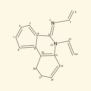 C=C/N=c1/c2ccccc2c2c(n1C=C)C=CCC2